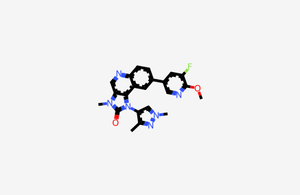 COc1ncc(-c2ccc3ncc4c(c3c2)n(-c2cn(C)nc2C)c(=O)n4C)cc1F